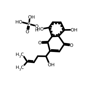 CC(C)=CCC(O)C1=CC(=O)c2c(O)ccc(O)c2C1=O.O=P(O)(O)O